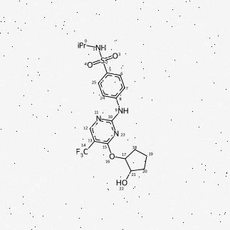 CC(C)NS(=O)(=O)c1ccc(Nc2ncc(C(F)(F)F)c(OC3CCCC3O)n2)cc1